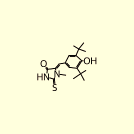 CN1C(=S)NC(=O)/C1=C/c1cc(C(C)(C)C)c(O)c(C(C)(C)C)c1